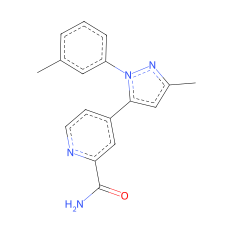 Cc1cccc(-n2nc(C)cc2-c2ccnc(C(N)=O)c2)c1